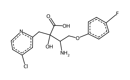 NC(COc1ccc(F)cc1)C(O)(Cc1cc(Cl)ccn1)C(=O)O